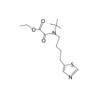 CCOC(=O)C(=O)N(CCCCc1cncs1)C(C)(C)C